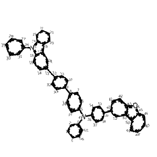 c1ccc(N(c2ccc(-c3ccc(-c4ccc5c(c4)c4ccccc4n5-c4ccccc4)cc3)cc2)c2ccc(-c3ccc4oc5ccccc5c4c3)cc2)cc1